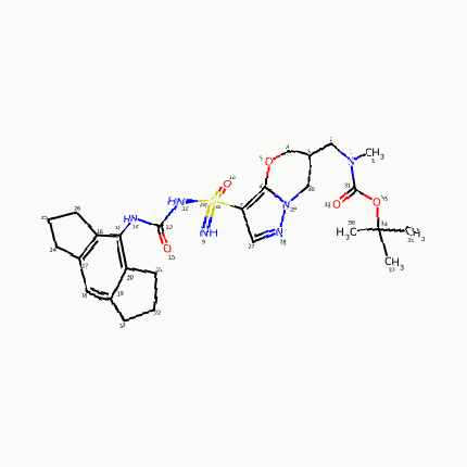 CN(CC1COc2c([S@](=N)(=O)NC(=O)Nc3c4c(cc5c3CCC5)CCC4)cnn2C1)C(=O)OC(C)(C)C